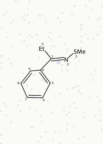 CC/C(=N\SC)c1ccccc1